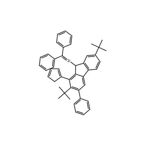 CC(C)(C)c1ccc2c(c1)[CH]([Zr]=[C](c1ccccc1)c1ccccc1)c1c-2cc(-c2ccccc2)c(C(C)(C)C)c1C1=CC=CC1